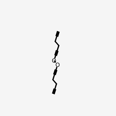 C#CCCC#COOC#CCCC#C